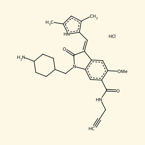 C#CCNC(=O)c1cc2c(cc1OC)/C(=C/c1[nH]c(C)cc1C)C(=O)N2CC1CCC(N)CC1.Cl